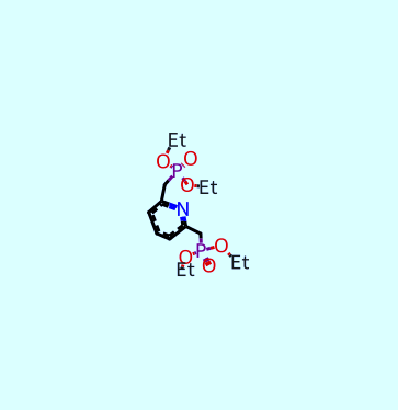 CCOP(=O)(Cc1cccc(CP(=O)(OCC)OCC)n1)OCC